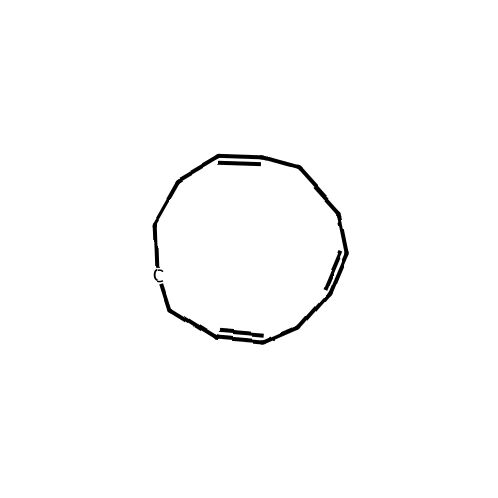 [C]1=CCCCCC=CCC=CCC1